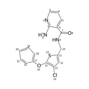 Nc1ncccc1C(=O)NCc1cc(Cl)c(Oc2ccccc2)s1